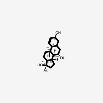 CC(=O)[C@@]1(O)CC[C@H]2[C@@H]3[C@@H](O)CC4C[C@H](O)C=C[C@]4(C)[C@H]3CC[C@@]21C